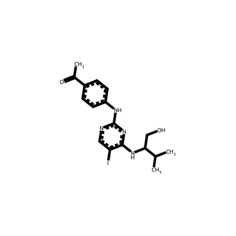 CC(=O)c1ccc(Nc2ncc(I)c(NC(CO)C(C)C)n2)cc1